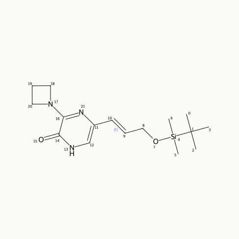 CC(C)(C)[Si](C)(C)OC/C=C/c1c[nH]c(=O)c(N2CCC2)n1